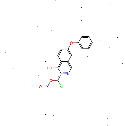 O=COC(Cl)c1ncc2cc(Oc3ccccc3)ccc2c1O